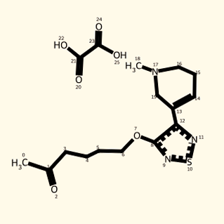 CC(=O)CCCCOc1nsnc1C1=CCCN(C)C1.O=C(O)C(=O)O